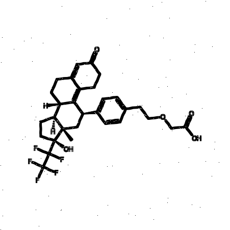 C[C@]12C[C@H](c3ccc(CCOCC(=O)O)cc3)C3=C4CCC(=O)C=C4CC[C@H]3[C@@H]1CC[C@@]2(O)C(F)(F)C(F)(F)F